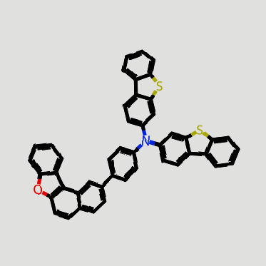 c1ccc2c(c1)oc1ccc3ccc(-c4ccc(N(c5ccc6c(c5)sc5ccccc56)c5ccc6c(c5)sc5ccccc56)cc4)cc3c12